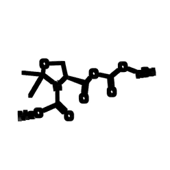 CCCCOC(=O)OC(=O)[C@@H]1COC(C)(C)N1C(=O)OC